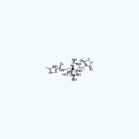 Cc1ncc(C(=O)NC2CN3C(=N)NC(CN4C(=O)CCC4=O)[C@@H]4NC(=N)N[C@@]43C2(O)O)[nH]1